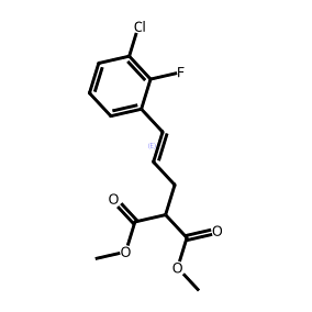 COC(=O)C(C/C=C/c1cccc(Cl)c1F)C(=O)OC